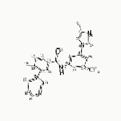 Cc1cn(-c2cc(NC(=O)c3ccc(C)c(-c4cccnc4)c3)cc(C(F)(F)F)c2)cn1